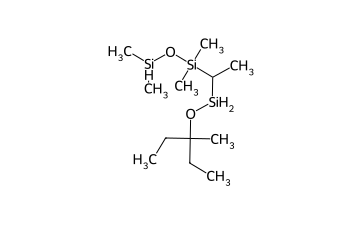 CCC(C)(CC)O[SiH2]C(C)[Si](C)(C)O[SiH](C)C